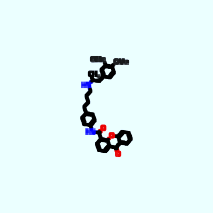 COc1ccc(CC(C)NCCCCc2ccc(NC(=O)c3cccc4c(=O)c5ccccc5oc34)cc2)cc1OC